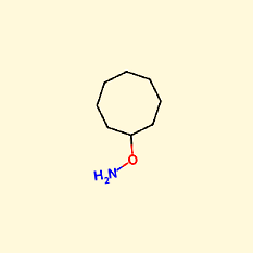 NOC1CCCCCCC1